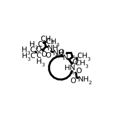 CC(C)[C@H]1CCN2C(=O)[C@@H](NC(=O)NC(C(=O)OC(C)(C)C)C(C)(C)C)CCCCCCCCCC[C@@H](C(=O)C(N)=O)NC(=O)C12